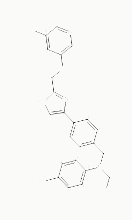 CC(C)CN(Cc1ccc(-c2csc(COc3cncc(C(=O)O)c3)n2)cc1)c1ccc(C(C)C)cc1